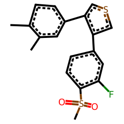 Cc1ccc(-c2cscc2-c2ccc(S(C)(=O)=O)c(F)c2)cc1C